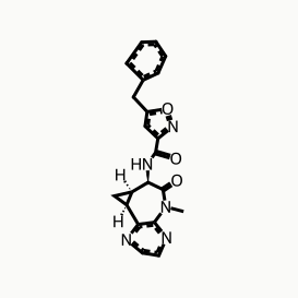 CN1C(=O)[C@H](NC(=O)c2cc(Cc3ccccc3)on2)[C@@H]2C[C@@H]2c2nccnc21